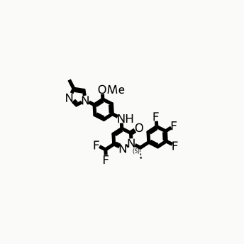 COc1cc(Nc2cc(C(F)F)nn([C@@H](C)c3cc(F)c(F)c(F)c3)c2=O)ccc1-n1cnc(C)c1